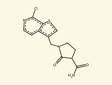 NC(=O)C1CCN(Cc2csc3c(Cl)nccc23)C1=O